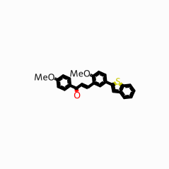 COc1ccc(C(=O)C=Cc2cc(-c3cc4ccccc4s3)ccc2OC)cc1